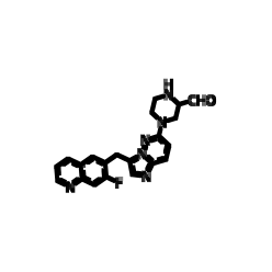 O=CC1CN(c2ccc3ncc(Cc4cc5cccnc5cc4F)n3n2)CCN1